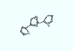 c1csc(-c2cnc(-c3cccs3)s2)c1